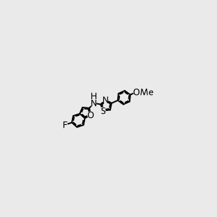 COc1ccc(-c2csc(Nc3cc4cc(F)ccc4o3)n2)cc1